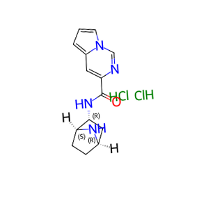 Cl.Cl.O=C(N[C@@H]1C[C@H]2CC[C@@H]1N2)c1cc2cccn2cn1